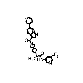 CN(C(=O)Nc1cncc(C(F)(F)F)c1)C1CC2(C1)CN(C(=O)c1cnn3cc(-c4cccnc4)ccc13)C2